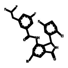 O=C(Nc1cc(Br)cc2c1C(c1cc(F)ccc1Cl)NC2=O)c1cc(F)cc(CC(F)F)c1